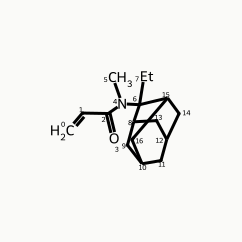 C=CC(=O)N(C)C1(CC)C2CC3CC(C2)CC1C3